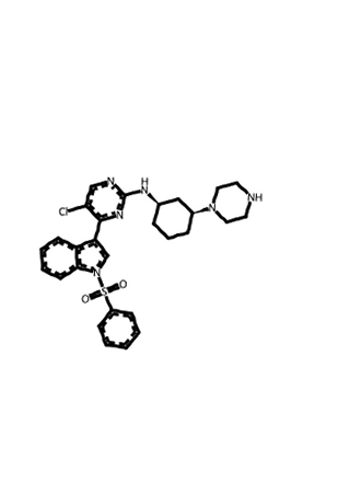 O=S(=O)(c1ccccc1)n1cc(-c2nc(N[C@@H]3CCC[C@H](N4CCNCC4)C3)ncc2Cl)c2ccccc21